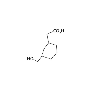 O=C(O)CC1CC[CH]C(CO)C1